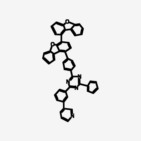 c1ccc(-c2nc(-c3ccc(-c4ccc(-c5cccc6oc7ccccc7c56)c5oc6ccccc6c45)cc3)nc(-c3cccc(-c4cccnc4)c3)n2)cc1